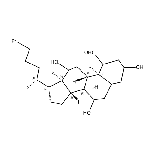 CC(C)CCC[C@@H](C)[C@H]1CC[C@H]2[C@@H]3C(O)CC4CC(O)CC(C=O)[C@]4(C)[C@H]3CC(O)[C@]12C